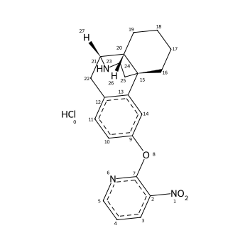 Cl.O=[N+]([O-])c1cccnc1Oc1ccc2c(c1)[C@@]13CCCC[C@H]1[C@@H](C2)NCC3